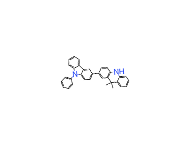 CC1(C)c2ccccc2Nc2ccc(-c3ccc4c(c3)c3ccccc3n4-c3ccccc3)cc21